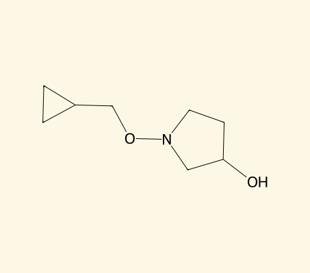 OC1CCN(OCC2CC2)C1